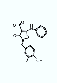 Cc1cc(/C=C2\OC(Nc3ccccc3)=C(C(=O)O)C2=O)ccc1O